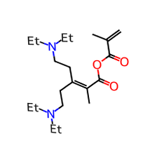 C=C(C)C(=O)OC(=O)C(C)=C(CCN(CC)CC)CCN(CC)CC